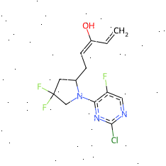 C=C/C(O)=C\CC1CC(F)(F)CN1c1nc(Cl)ncc1F